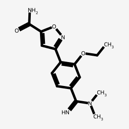 CCOc1cc(C(=N)N(C)C)ccc1-c1cc(C(N)=O)on1